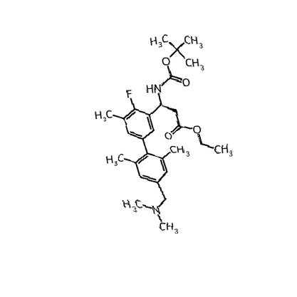 CCOC(=O)C[C@H](NC(=O)OC(C)(C)C)c1cc(-c2c(C)cc(CN(C)C)cc2C)cc(C)c1F